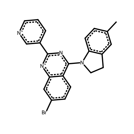 Cc1ccc2c(c1)CCN2c1nc(-c2cccnc2)nc2cc(Br)ccc12